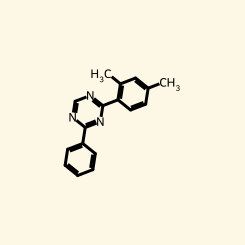 Cc1ccc(-c2ncnc(-c3ccccc3)n2)c(C)c1